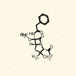 CO[C@@]1(NC(=O)Cc2ccccc2)C(=O)N2[C@@H](C(=O)[O-])C(C)(C)S[C@@H]21.[Na+]